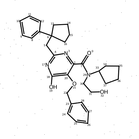 O=C(c1nc(CC2(c3ccccc3)CCCC2)nc(O)c1OCc1ccccc1)N(CCO)C1CCCC1